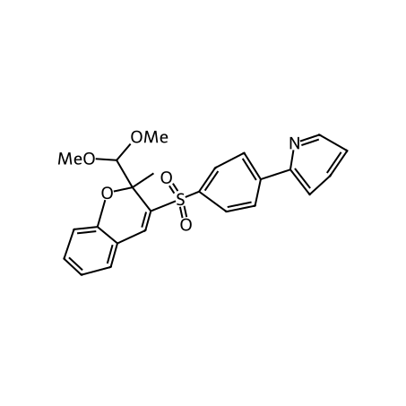 COC(OC)C1(C)Oc2ccccc2C=C1S(=O)(=O)c1ccc(-c2ccccn2)cc1